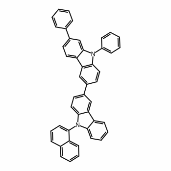 c1ccc(-c2ccc3c4cc(-c5ccc6c(c5)c5ccccc5n6-c5cccc6ccccc56)ccc4n(-c4ccccc4)c3c2)cc1